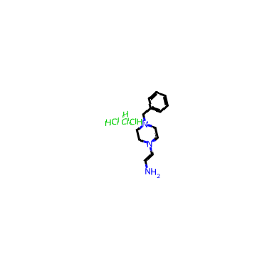 Cl.Cl.Cl.NCCN1CCN(Cc2ccccc2)CC1